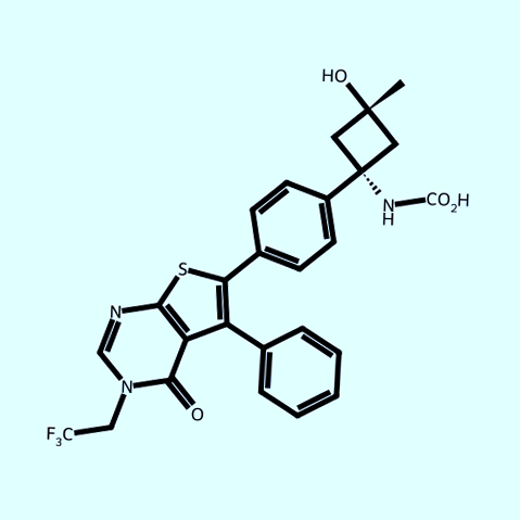 C[C@]1(O)C[C@](NC(=O)O)(c2ccc(-c3sc4ncn(CC(F)(F)F)c(=O)c4c3-c3ccccc3)cc2)C1